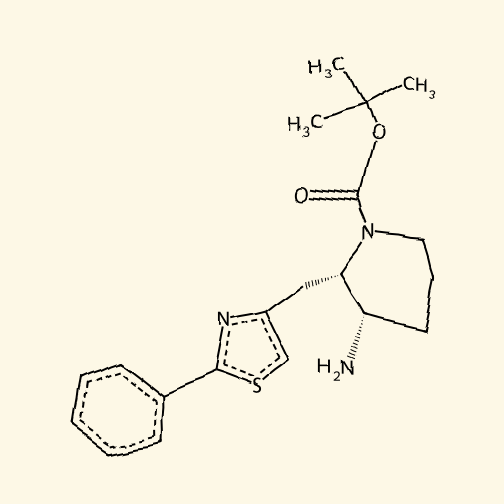 CC(C)(C)OC(=O)N1CCC[C@H](N)[C@@H]1Cc1csc(-c2ccccc2)n1